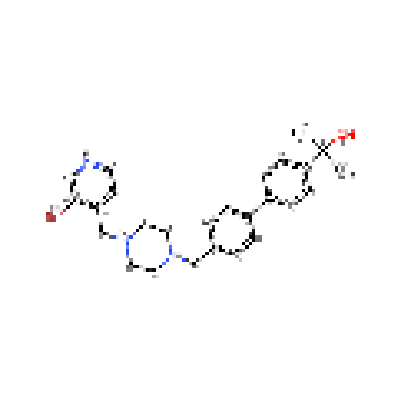 OC(c1ccc(-c2ccc(CN3CCN(Cc4ccncc4Br)CC3)cc2)cc1)(C(F)(F)F)C(F)(F)F